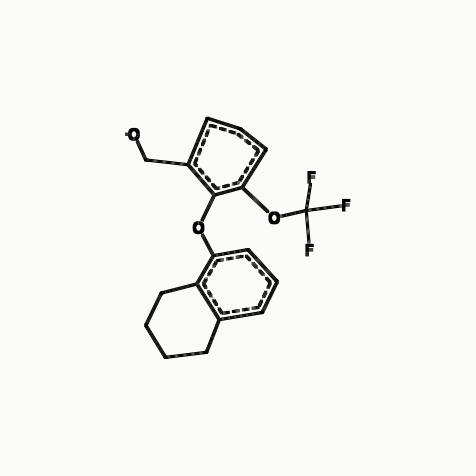 [O]Cc1cccc(OC(F)(F)F)c1Oc1cccc2c1CCCC2